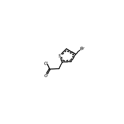 O=C(Cl)Cc1cc(Br)cs1